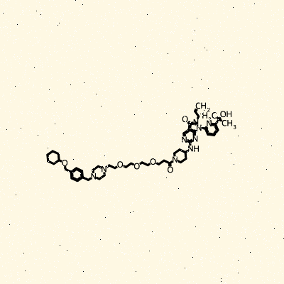 C=CCn1c(=O)c2cnc(NC3CCN(C(=O)CCOCCOCCOCCN4CCN(Cc5ccc(COC6CCCCC6)cc5)CC4)CC3)nc2n1-c1cccc(C(C)(C)O)n1